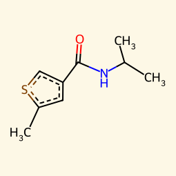 Cc1cc(C(=O)NC(C)C)cs1